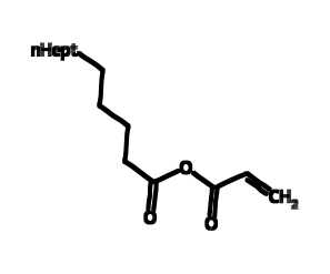 C=CC(=O)OC(=O)CCCCCCCCCCC